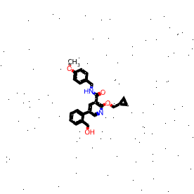 COc1ccc(CNC(=O)c2cc(-c3ccccc3CO)cnc2OCC2CC2)cc1